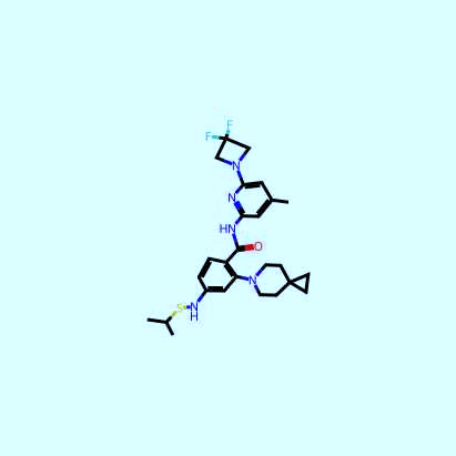 Cc1cc(NC(=O)c2ccc(NSC(C)C)cc2N2CCC3(CC2)CC3)nc(N2CC(F)(F)C2)c1